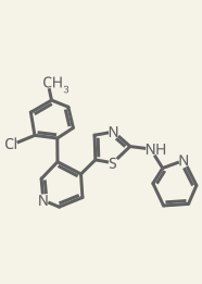 Cc1ccc(-c2cnccc2-c2cnc(Nc3ccccn3)s2)c(Cl)c1